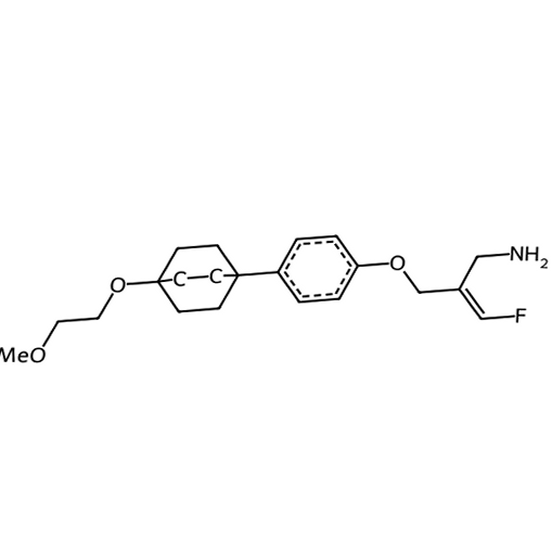 COCCOC12CCC(c3ccc(OC/C(=C/F)CN)cc3)(CC1)CC2